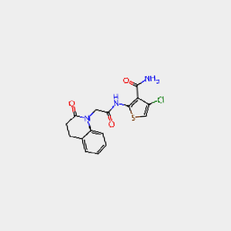 NC(=O)c1c(Cl)csc1NC(=O)CN1C(=O)CCc2ccccc21